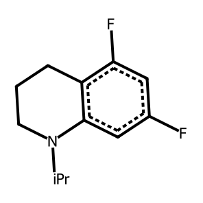 CC(C)N1CCCc2c(F)cc(F)cc21